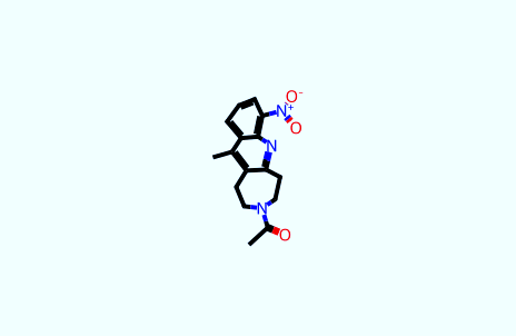 CC(=O)N1CCc2nc3c([N+](=O)[O-])cccc3c(C)c2CC1